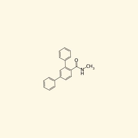 CNC(=O)c1ccc(-c2ccccc2)cc1-c1ccccc1